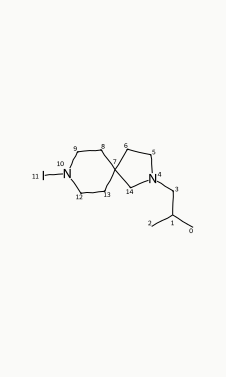 CC(C)CN1CCC2(CCN(I)CC2)C1